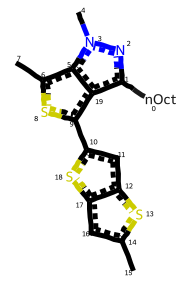 CCCCCCCCc1nn(C)c2c(C)sc(-c3cc4sc(C)cc4s3)c12